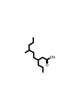 CCCC(C)CCC(CCC)CC(=O)O